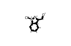 O=Cc1nn(Cl)c2ccccc12